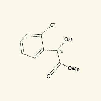 COC(=O)[C@@H](O)c1ccccc1Cl